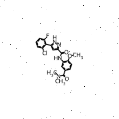 COc1ccc(C(=O)N(C)C)cc1NC(=O)c1cc(-c2c(F)cccc2Cl)[nH]n1